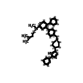 CN(C)CCCN(C)c1ncc(-c2ccccc2)c(-c2ccc(CN3CCC(c4nnc(-c5ccccn5)[nH]4)CC3)cc2)n1